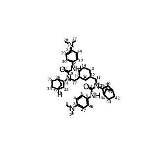 CN(C)c1ccc(NC(=O)N(CC2CCCC(CN(C(=O)Nc3ccc(N(C)C)cc3)[C@H]3C[C@@H]4CCC3C4)C2)C2CC3CCC2C3)cc1